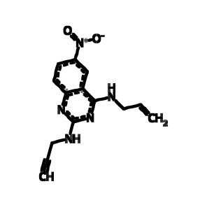 C#CCNc1nc(NCC=C)c2cc([N+](=O)[O-])ccc2n1